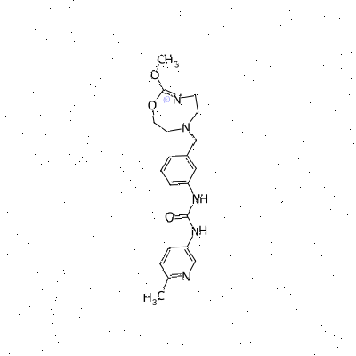 CO/C1=N\CCN(Cc2cccc(NC(=O)Nc3ccc(C)nc3)c2)CCO1